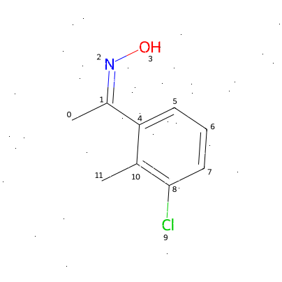 C/C(=N/O)c1cccc(Cl)c1C